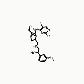 Nc1cccc(C(O)CNCC2CC3CC2C(Nc2nc(Cl)ncc2F)C3C=O)c1